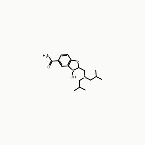 CC(C)CN(CC(C)C)CC1Sc2ccc(C(N)=O)cc2N1O